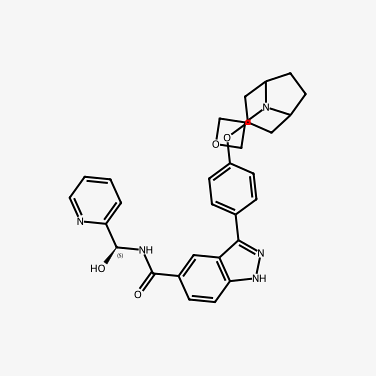 O=C(N[C@@H](O)c1ccccn1)c1ccc2[nH]nc(-c3ccc(OC4CC5CCC(C4)N5C4COC4)cc3)c2c1